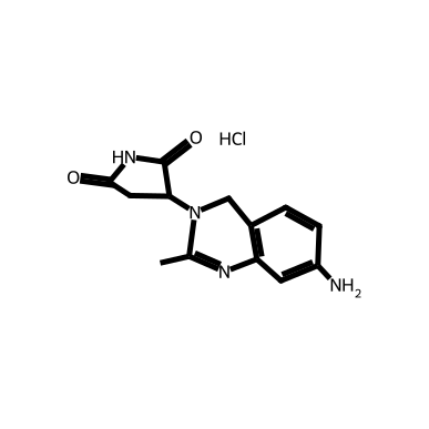 CC1=Nc2cc(N)ccc2CN1C1CC(=O)NC1=O.Cl